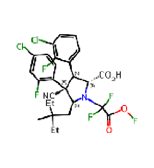 CCC(C)(CC)C[C@@H]1N(C(F)(F)C(=O)OF)[C@@H](C(=O)O)[C@H](c2cccc(Cl)c2F)[C@@]1(C#N)c1ccc(Cl)cc1F